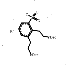 CCCCCCCCCCCCc1cccc(S(=O)(=O)[O-])c1CCCCCCCCCCCC.[K+]